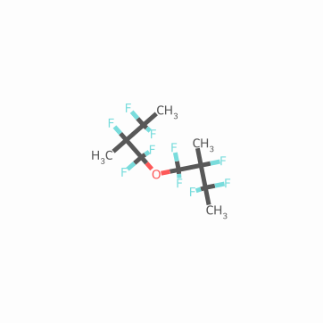 CC(F)(F)C(C)(F)C(F)(F)OC(F)(F)C(C)(F)C(C)(F)F